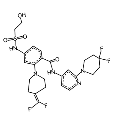 O=C(Nc1ccnc(N2CCC(F)(F)CC2)c1)c1ccc(NS(=O)(=O)CCO)cc1N1CCC(=C(F)F)CC1